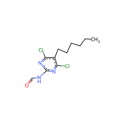 CCCCCCc1c(Cl)nc(NC=O)nc1Cl